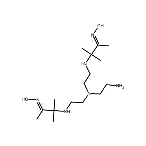 C/C(=N\O)C(C)(C)NCCN(CCN)CCNC(C)(C)/C(C)=N/O